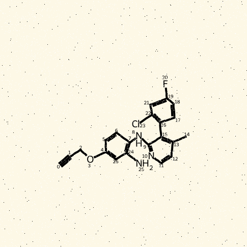 C#CCOc1ccc(Nc2nccc(C)c2-c2ccc(F)cc2Cl)c(N)c1